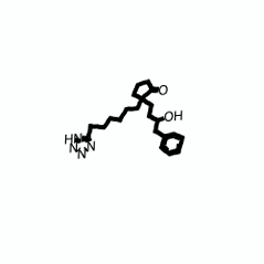 O=C1CCCC1(CCCCCCc1nnn[nH]1)CCC(O)Cc1ccccc1